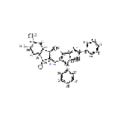 O=C1/C(=C\c2cc3sc(-c4cccnc4)nc3n2-c2ccccc2)C(=O)c2cc(I)c(Cl)cc21